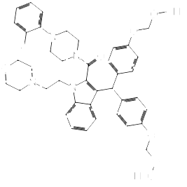 COCOc1ccc(C(c2ccc(OCOC)cc2)c2c(C(=O)N3CCN(c4ccccc4Cl)CC3)n(CCN3CCOCC3)c3ccccc23)cc1